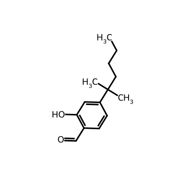 CCCCC(C)(C)c1ccc(C=O)c(O)c1